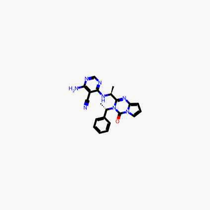 C[C@H](Nc1ncnc(N)c1C#N)c1nc2cccn2c(=O)n1[C@@H](C)c1ccccc1